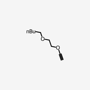 C#COCCOCCCCC